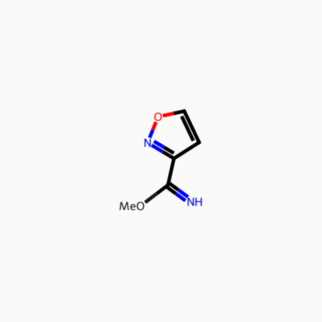 COC(=N)c1ccon1